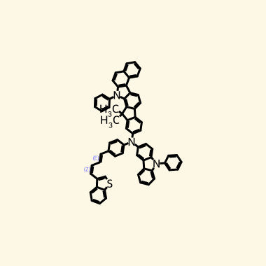 CC1(C)c2cc(N(c3ccc(/C=C/C=C\c4csc5ccccc45)cc3)c3ccc4c(c3)c3ccccc3n4-c3ccccc3)ccc2-c2ccc3c4c5ccccc5ccc4n(-c4ccccc4)c3c21